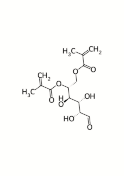 C=C(C)C(=O)OC[C@@H](OC(=O)C(=C)C)[C@H](O)[C@H](O)[C@@H](O)C=O